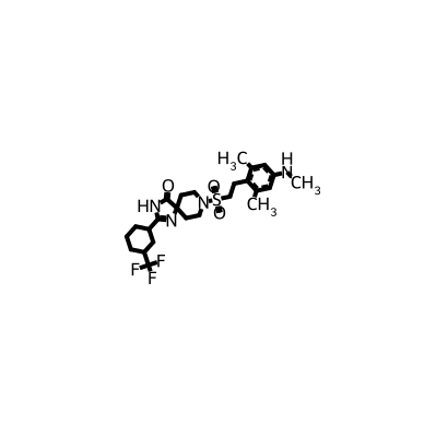 CNc1cc(C)c(CCS(=O)(=O)N2CCC3(CC2)N=C(C2CCCC(C(F)(F)F)C2)NC3=O)c(C)c1